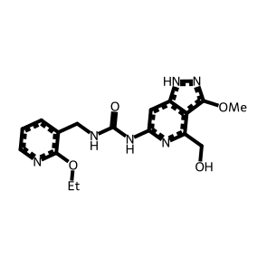 CCOc1ncccc1CNC(=O)Nc1cc2[nH]nc(OC)c2c(CO)n1